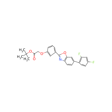 CC(C)(C)OC(=O)COc1cccc(-c2nc3ccc(-c4ccc(F)cc4F)cc3o2)c1